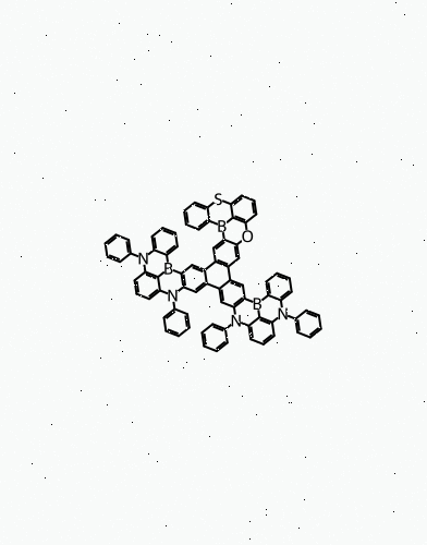 c1ccc(N2c3ccccc3B3c4cc5c6cc7c(cc6c6cc8c(cc6c5cc4N(c4ccccc4)c4cccc2c43)N(c2ccccc2)c2cccc3c2B8c2ccccc2N3c2ccccc2)B2c3ccccc3Sc3cccc(c32)O7)cc1